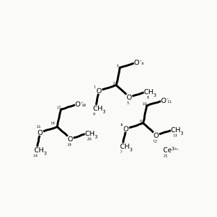 COC(C[O-])OC.COC(C[O-])OC.COC(C[O-])OC.[Ce+3]